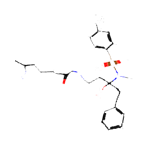 CCCCN(C(O)(CCNC(=O)CCCC(C)N)Cc1ccccc1)S(=O)(=O)c1ccc(OC)cc1